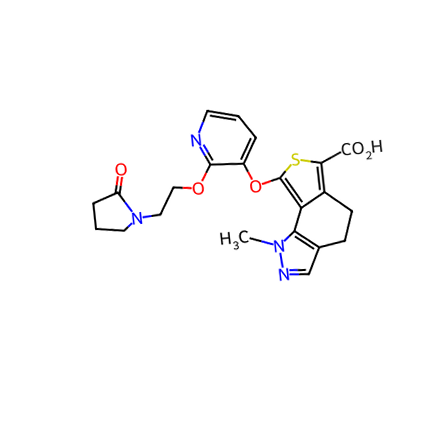 Cn1ncc2c1-c1c(Oc3cccnc3OCCN3CCCC3=O)sc(C(=O)O)c1CC2